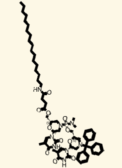 CCCCCCCCCCCCCCCCCCNC(=O)CCC(=O)OC[C@@H]1CN(P(=O)(OC[C@@H]2CN(C(c3ccccc3)(c3ccccc3)c3ccccc3)C[C@H](n3cc(C)c(=O)[nH]c3=O)O2)N(C)C)C[C@H](n2cc(C)c(=O)[nH]c2=O)O1